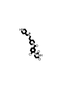 CN(CCC1CCN(C(=O)c2ccc(Cl)c(N3CCC(=O)NC3=O)c2)CC1)CC1CCNCC1